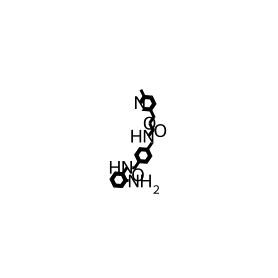 Cc1ccc(COC(=O)NCc2ccc(C(=O)Nc3ccccc3N)cc2)cn1